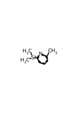 Cc1cccc([SiH](C)C)n1